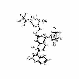 CC(C)C(COC(=O)C(F)(F)F)COc1nc(N2C[C@H]3CC[C@@H](C2)N3)c2ccc(-c3cc(O)cc4ccccc34)c(F)c2n1